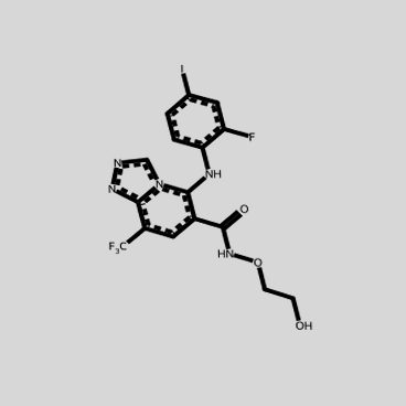 O=C(NOCCO)c1cc(C(F)(F)F)c2nncn2c1Nc1ccc(I)cc1F